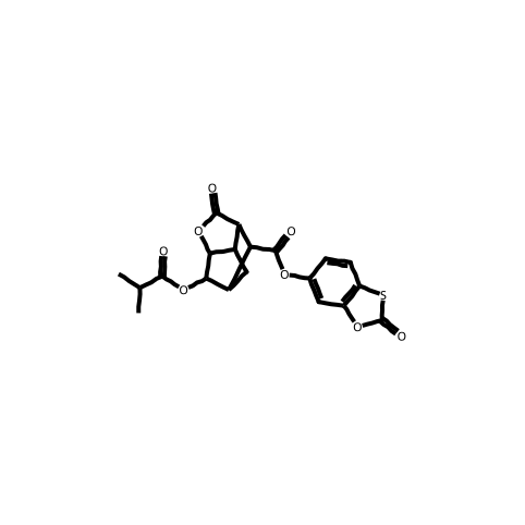 CC(C)C(=O)OC1C2CC3C1OC(=O)C3C2C(=O)Oc1ccc2sc(=O)oc2c1